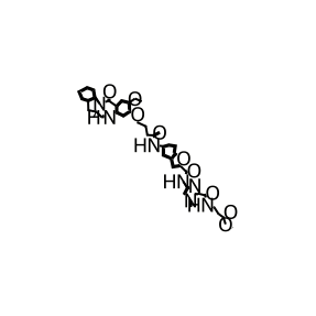 COC(=O)CCNC(=O)c1nc(NC(=O)c2cc3cc(NC(=O)CCCOc4cc5c(cc4OC)C(=O)N4c6ccccc6C[C@H]4C=N5)ccc3o2)cn1C